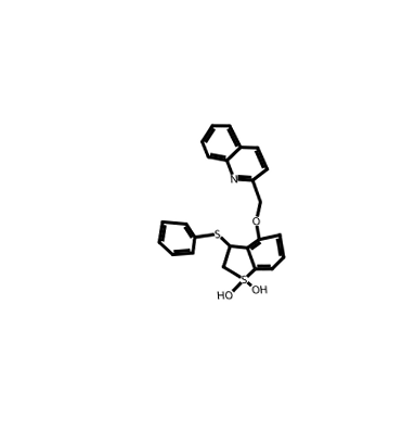 OS1(O)CC(Sc2ccccc2)c2c(OCc3ccc4ccccc4n3)cccc21